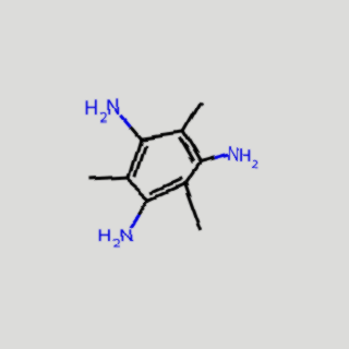 Cc1c(N)c(C)c(N)c(C)c1N